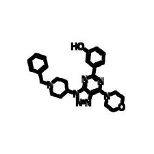 Oc1cccc(-c2nc(N3CCOCC3)c3nnn(C4CCN(Cc5ccccc5)CC4)c3n2)c1